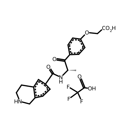 C[C@H](NC(=O)c1ccc2c(c1)CCNC2)C(=O)c1ccc(OCC(=O)O)cc1.O=C(O)C(F)(F)F